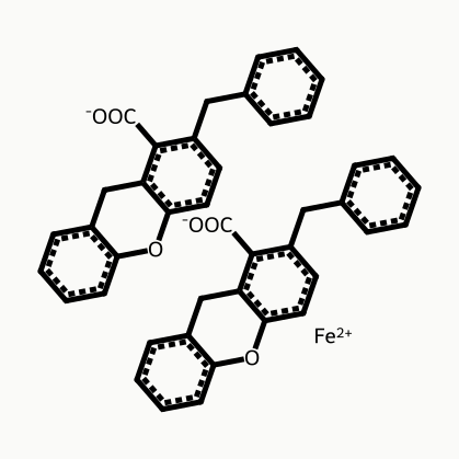 O=C([O-])c1c(Cc2ccccc2)ccc2c1Cc1ccccc1O2.O=C([O-])c1c(Cc2ccccc2)ccc2c1Cc1ccccc1O2.[Fe+2]